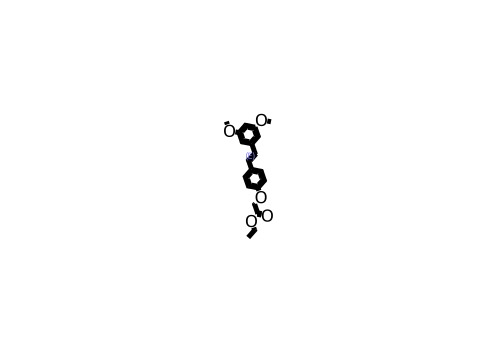 CCOC(=O)COc1ccc(/C=C/c2cc(OC)cc(OC)c2)cc1